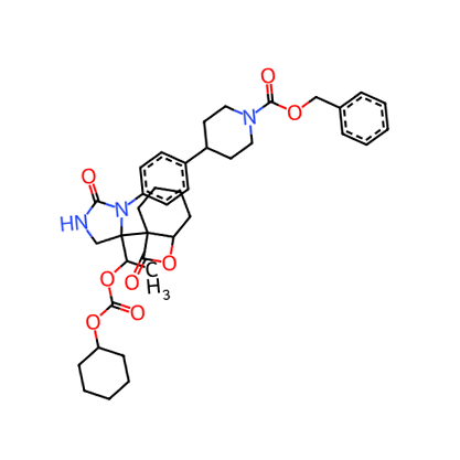 CC(OC(=O)OC1CCCCC1)C1(C23CCCCC2OC3=O)CNC(=O)N1c1ccc(C2CCN(C(=O)OCc3ccccc3)CC2)cc1